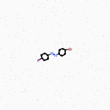 Brc1ccc(N=Nc2ccc(I)cc2)cc1